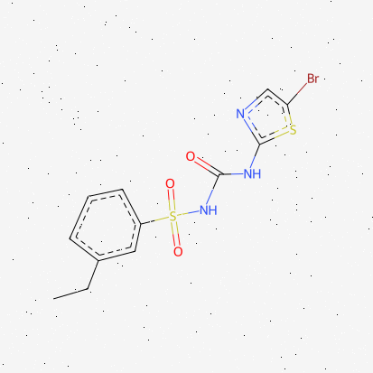 CCc1cccc(S(=O)(=O)NC(=O)Nc2ncc(Br)s2)c1